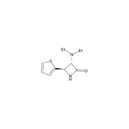 CCN(CC)[C@@H]1C(=O)N[C@H]1c1cccs1